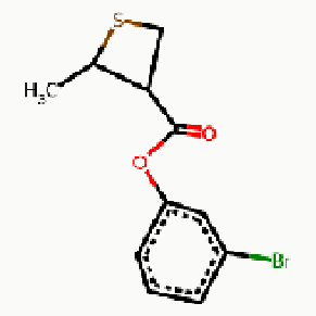 CC1SCC1C(=O)Oc1cccc(Br)c1